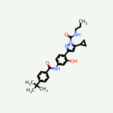 CCCNC(=O)n1nc(-c2ccc(NC(=O)c3ccc(C(C)(C)C)cc3)cc2O)cc1C1CC1